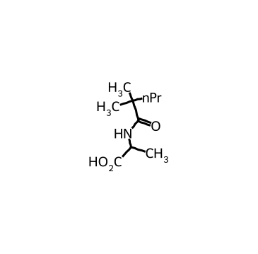 CCCC(C)(C)C(=O)NC(C)C(=O)O